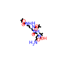 CC(C)(C)OC(=O)NCCC[C@H](CNC(=O)C[C@H](CCCN)N(C(=O)O)C(C)(C)C)NC(=O)OC(C)(C)C